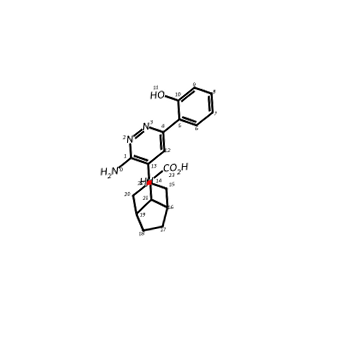 Nc1nnc(-c2ccccc2O)cc1N1CC2CCC(C1)C2NC(=O)O